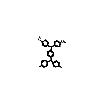 COc1ccc(C(c2ccc(OC)cc2)c2ccc(C(c3ccc(C)cc3)c3ccc(C)cc3)cc2)cc1